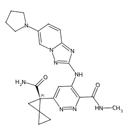 CNC(=O)c1nnc([C@@]2(C(N)=O)CC23CC3)cc1Nc1nc2ccc(N3CCCC3)cn2n1